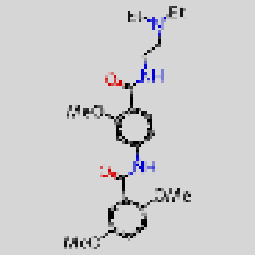 CCN(CC)CCNC(=O)c1ccc(NC(=O)c2cc(OC)ccc2OC)cc1OC